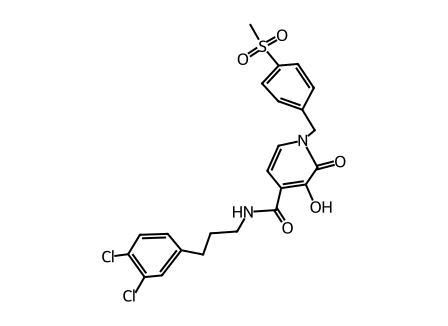 CS(=O)(=O)c1ccc(Cn2ccc(C(=O)NCCCc3ccc(Cl)c(Cl)c3)c(O)c2=O)cc1